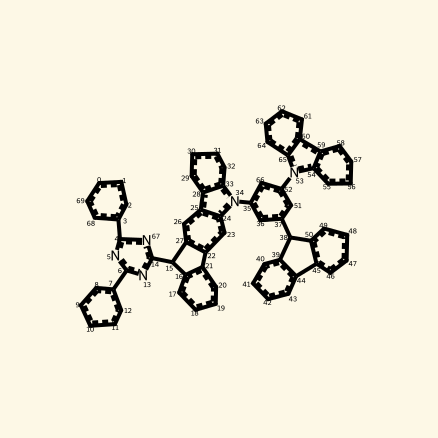 c1ccc(-c2nc(-c3ccccc3)nc(C3c4ccccc4-c4cc5c(cc43)c3ccccc3n5-c3cc(C4c5ccccc5-c5ccccc54)cc(-n4c5ccccc5c5ccccc54)c3)n2)cc1